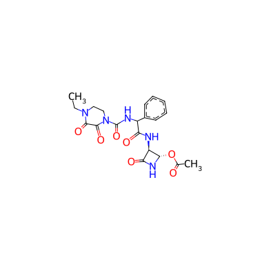 CCN1CCN(C(=O)NC(C(=O)N[C@@H]2C(=O)N[C@H]2OC(C)=O)c2ccccc2)C(=O)C1=O